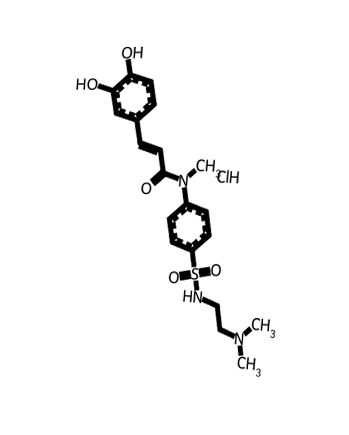 CN(C)CCNS(=O)(=O)c1ccc(N(C)C(=O)C=Cc2ccc(O)c(O)c2)cc1.Cl